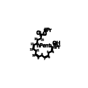 CC(C)O.CCCCC/C=C\C/C=C\C/C=C\C/C=C\CCCC(=O)OCCC